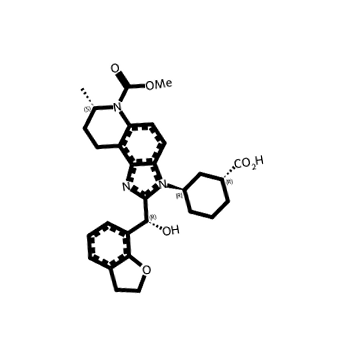 COC(=O)N1c2ccc3c(nc([C@H](O)c4cccc5c4OCC5)n3[C@@H]3CCC[C@@H](C(=O)O)C3)c2CC[C@@H]1C